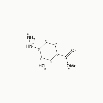 COC(=O)C1CCC(NN)CC1.Cl